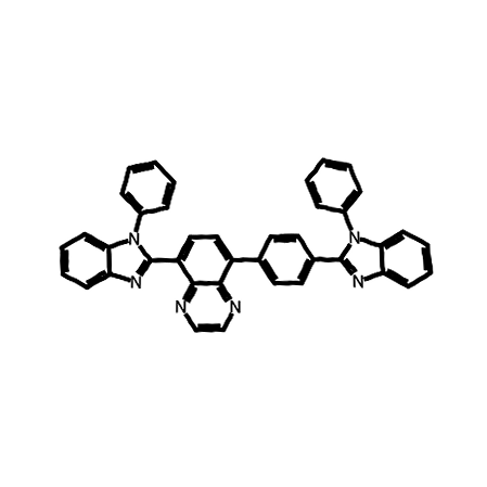 c1ccc(-n2c(-c3ccc(-c4ccc(-c5nc6ccccc6n5-c5ccccc5)c5nccnc45)cc3)nc3ccccc32)cc1